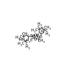 CC1(C)CC(O[Si](C)(C)O[Si](C)(C)OC2CC(C)(C)NC(C)(C)C2)CC(C)(C)N1